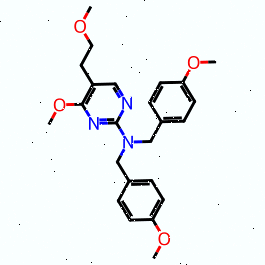 COCCc1cnc(N(Cc2ccc(OC)cc2)Cc2ccc(OC)cc2)nc1OC